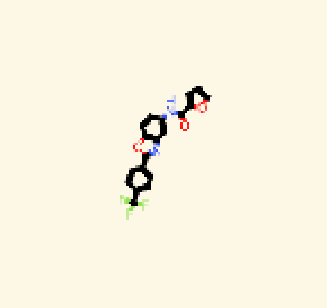 O=C(Nc1ccc2oc(-c3ccc(C(F)(F)F)cc3)nc2c1)c1ccco1